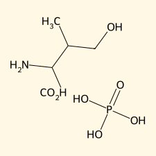 CC(CO)C(N)C(=O)O.O=P(O)(O)O